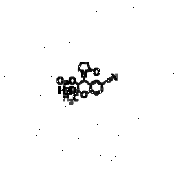 CC1(C)Oc2ccc(C#N)cc2C(N2CCCC2=O)C1O[PH](=O)O